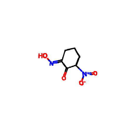 O=C1/C(=N/O)CCCC1[N+](=O)[O-]